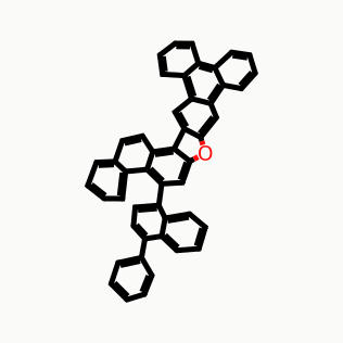 c1ccc(-c2ccc(-c3cc4oc5cc6c7ccccc7c7ccccc7c6cc5c4c4ccc5ccccc5c34)c3ccccc23)cc1